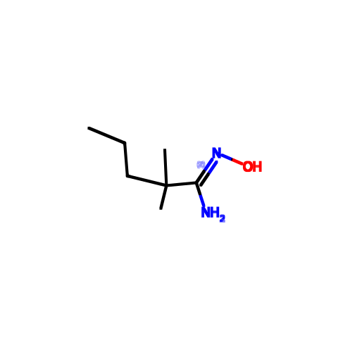 CCCC(C)(C)/C(N)=N/O